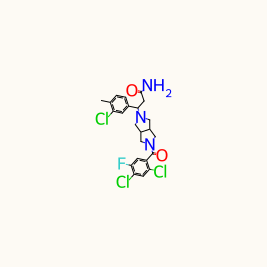 Cc1ccc(C(CC(N)=O)N2CC3CN(C(=O)c4cc(F)c(Cl)cc4Cl)CC3C2)cc1Cl